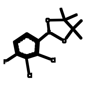 CC1(C)OB(c2ccc(F)c(Cl)c2Cl)OC1(C)C